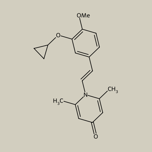 COc1ccc(/C=C/n2c(C)cc(=O)cc2C)cc1OC1CC1